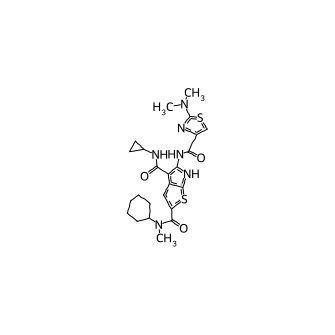 CN(C)c1nc(C(=O)Nc2[nH]c3sc(C(=O)N(C)C4CCCCC4)cc3c2C(=O)NC2CC2)cs1